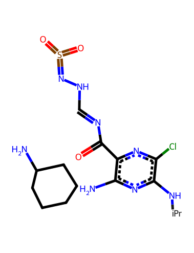 CC(C)Nc1nc(N)c(C(=O)N=CNN=S(=O)=O)nc1Cl.NC1CCCCC1